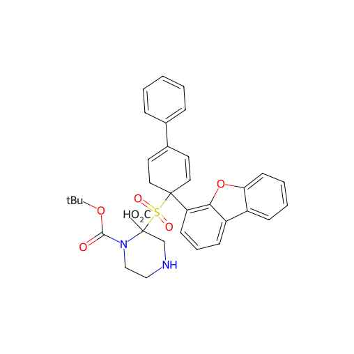 CC(C)(C)OC(=O)N1CCNCC1(C(=O)O)S(=O)(=O)C1(c2cccc3c2oc2ccccc23)C=CC(c2ccccc2)=CC1